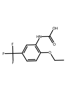 CCOc1ccc(C(F)(F)F)cc1NC(=O)O